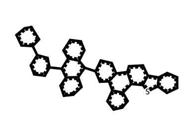 c1ccc(-c2cccc(-c3c4ccccc4c(-c4ccc5c(c4)c4ccccc4c4c5ccc5c6ccccc6sc54)c4ccccc34)c2)cc1